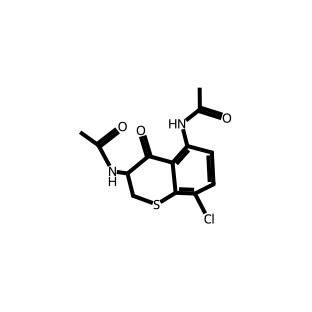 CC(=O)Nc1ccc(Cl)c2c1C(=O)C(NC(C)=O)CS2